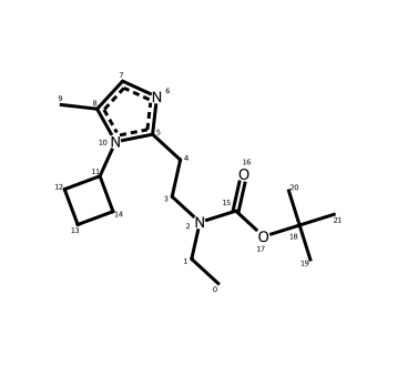 CCN(CCc1ncc(C)n1C1CCC1)C(=O)OC(C)(C)C